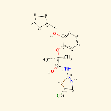 CC(C)(Oc1ccccc1OCC1CCCC1)C(=O)Nc1ncc(Cl)s1